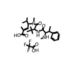 CNC(C(=O)NC(C(=O)N(C)C(C=C(C)C(=O)O)C(C)C)C(C)(C)C)C(C)c1ccccc1.O=C(O)C(F)(F)F